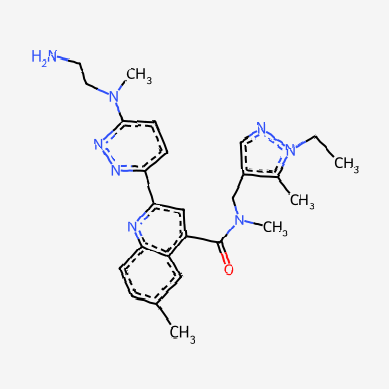 CCn1ncc(CN(C)C(=O)c2cc(-c3ccc(N(C)CCN)nn3)nc3ccc(C)cc23)c1C